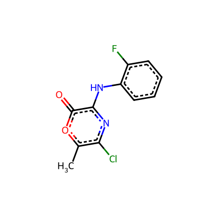 Cc1oc(=O)c(Nc2ccccc2F)nc1Cl